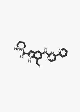 O=C(c1cc2cc(Nc3nccc(-c4ccccn4)n3)cc(CI)c2[nH]1)N1CCCCN1